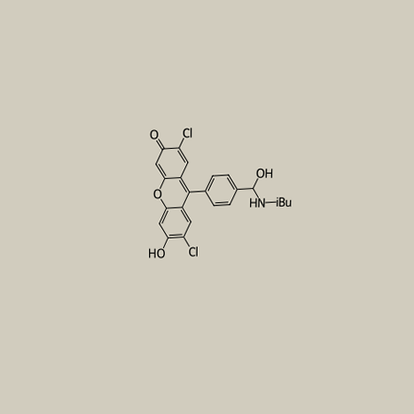 CCC(C)NC(O)c1ccc(-c2c3cc(Cl)c(=O)cc-3oc3cc(O)c(Cl)cc23)cc1